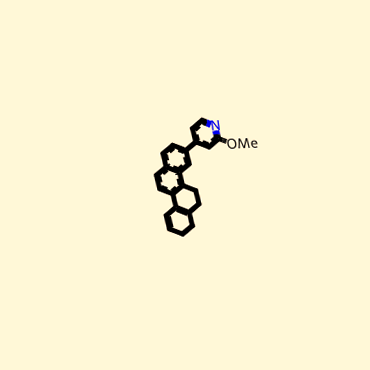 COc1cc(-c2ccc3ccc4c(c3c2)CCC2=C4C=CCC2)ccn1